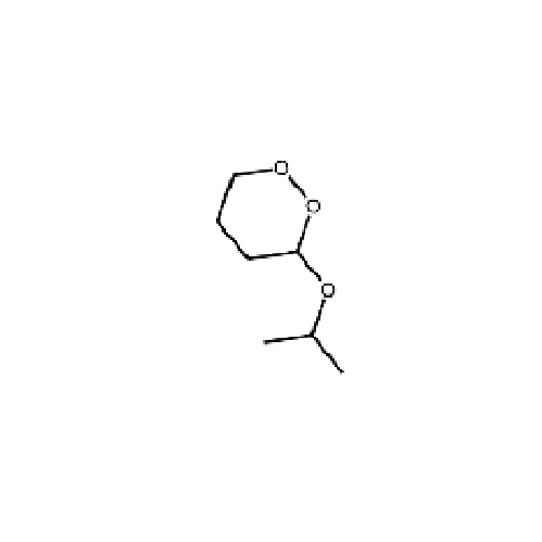 CC(C)OC1CCCOO1